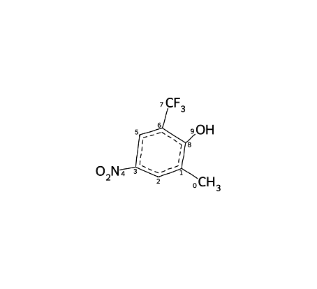 Cc1cc([N+](=O)[O-])cc(C(F)(F)F)c1O